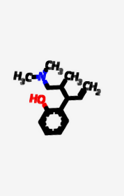 C=CC(c1ccccc1O)C(C)CN(C)C